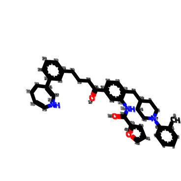 Cc1ccccc1N1CCC(Cc2ccc(C(=O)CCCc3cccc(C4=CNC=CCC4)c3)cc2NC(=O)c2ccco2)CC1